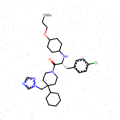 COCCOC1CCC(N[C@H](Cc2ccc(Cl)cc2)C(=O)N2CCC(Cn3cncn3)(C3CCCCC3)CC2)CC1